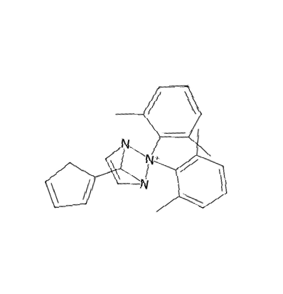 Cc1cccc(C)c1[N+]1(c2c(C)cccc2C)N2C=CN1C2C1=CC=CC1